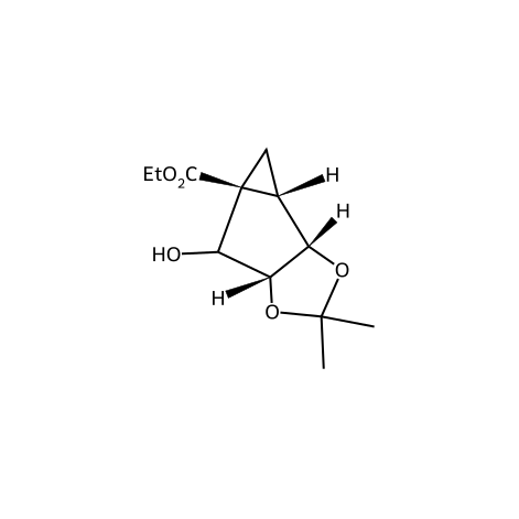 CCOC(=O)[C@@]12C[C@@H]1[C@@H]1OC(C)(C)O[C@@H]1C2O